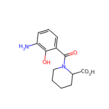 Nc1cccc(C(=O)N2CCCCC2C(=O)O)c1O